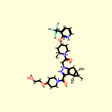 C[C@@H]1[C@@H]2Cc3c(c(C(=O)N4CCC(OCCO)CC4)nn3CC(=O)N3CC[C@@H](Oc4ncccc4C(F)(F)F)C[C@@H]3C)[C@H]12